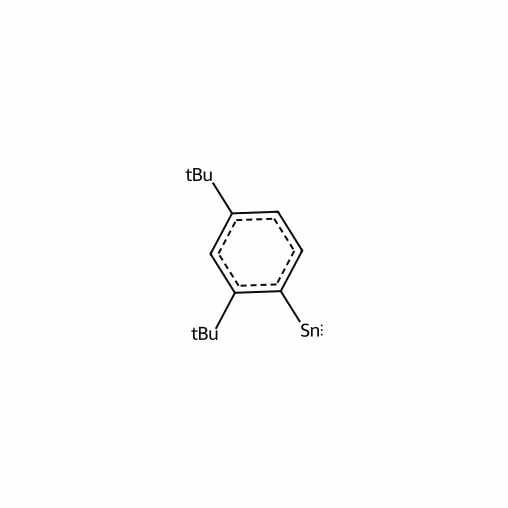 CC(C)(C)c1cc[c]([Sn])c(C(C)(C)C)c1